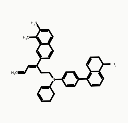 C=C/C=C(\CCN(C1=CC=CCC1)c1ccc(-c2cccc3c2C=CCC3C)cc1)c1ccc2ccc(N)c(C)c2c1